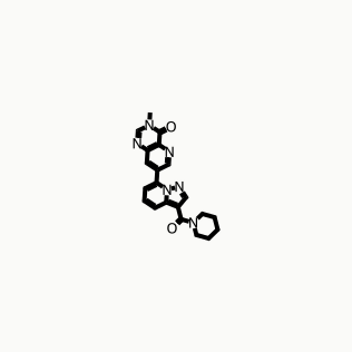 Cn1cnc2cc(-c3cccc4c(C(=O)N5CCCCC5)cnn34)cnc2c1=O